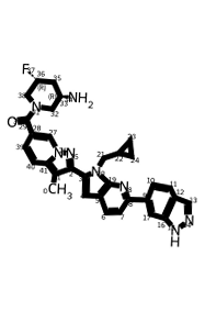 Cc1c(-c2cc3ccc(-c4ccc5cn[nH]c5c4)nc3n2CC2CC2)nn2cc(C(=O)N3C[C@H](N)C[C@@H](F)C3)ccc12